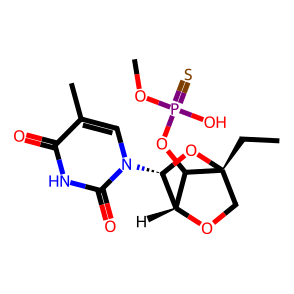 CC[C@@]12CO[C@@H](C1OP(O)(=S)OC)[C@H](n1cc(C)c(=O)[nH]c1=O)O2